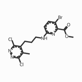 COC(=O)c1nc(NCCCc2c(Cl)nnc(Cl)c2C)ccc1Br